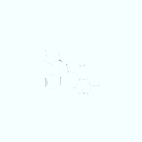 O=C1O[C@H](c2ccncc2)[C@@H]2c3ccccc3Oc3ccc(Cl)cc3N12